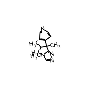 CC(C)C(C)(c1ccncc1)c1nncn1C